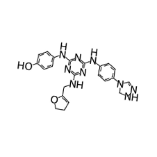 Oc1ccc(Nc2nc(NCC3=CCCO3)nc(Nc3ccc(N4C=NNC4)cc3)n2)cc1